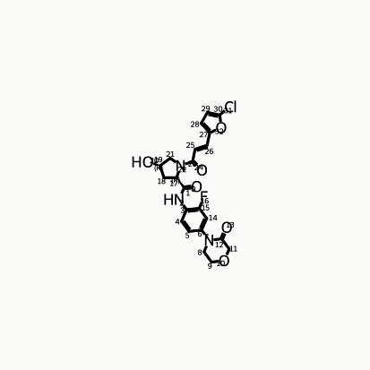 O=C(Nc1ccc(N2CCOCC2=O)cc1F)[C@H]1C[C@@H](O)CN1C(=O)C=Cc1ccc(Cl)o1